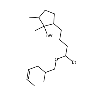 C/C=C\CC(C)COC(CC)CCCC1CCC(C)C1(C)CCC